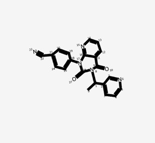 CC(c1cccnc1)n1c(=O)c2cccnc2n(-c2ccc(C#N)cc2)c1=O